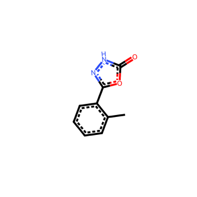 Cc1ccccc1-c1n[nH]c(=O)o1